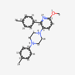 COc1ccc(N2CCN(c3ccc(C)cc3)CC2)c(-c2ccc(C)cc2)n1